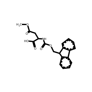 COC(=O)CC(NC(=O)OCC1c2ccccc2-c2ccccc21)C(=O)O